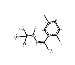 C/C(=N/[S+]([O-])C(C)(C)C)c1cc(I)ccc1F